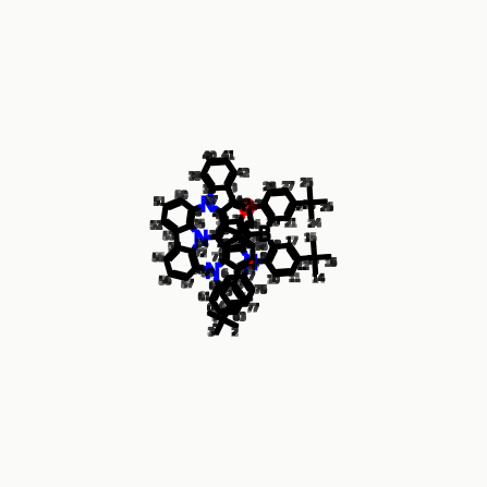 CC(C)(C)c1ccc(N2c3ccc(C(C)(C)C)cc3B3c4cc(C(C)(C)C)ccc4Oc4cc(-n5c6c(-n7c8ccccc8c8ccccc87)cccc6c6cccc(-n7c8ccccc8c8ccccc87)c65)cc2c43)cc1